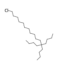 CCCCC(CCCC)(CCCC)CCCCCCCCCCCCl